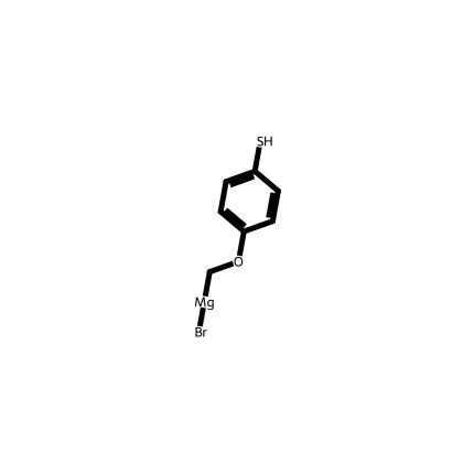 Sc1ccc(O[CH2][Mg][Br])cc1